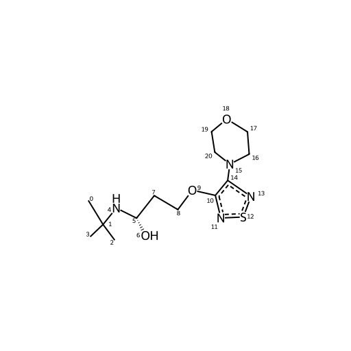 CC(C)(C)N[C@@H](O)CCOc1nsnc1N1CCOCC1